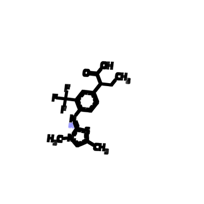 CCC(C(=O)O)c1ccc(/N=c2\sc(C)cn2C)c(C(F)(F)F)c1